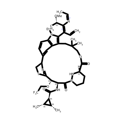 C=C/C(=C(\N=C/C)[C@H](C)OC)c1c2c3cc(ccc3n1CC)C1CSC(=N1)[C@@H](OCC(F)(F)F)[C@H](NC(=O)[C@H]1[C@H](C)[C@@H]1C)C(=O)N1CCC[C@H](N1)C(=O)OCC(C)(C)C2